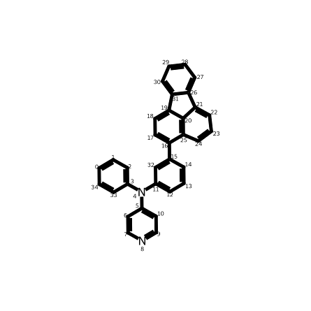 c1ccc(N(c2ccncc2)c2cccc(-c3ccc4c5c(cccc35)-c3ccccc3-4)c2)cc1